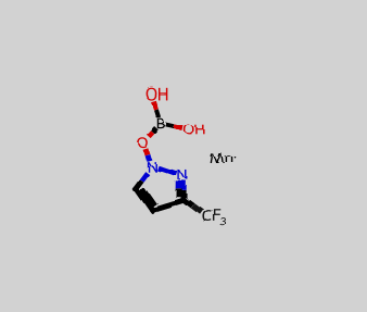 OB(O)On1ccc(C(F)(F)F)n1.[Mn]